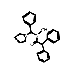 CN(C(=O)C(c1ccccc1)c1ccccc1)C(c1ccccc1)N1CCCC1